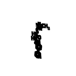 Cn1nnc(CCNC(=O)Nc2cn3cc(-c4cccnc4)ccc3n2)n1